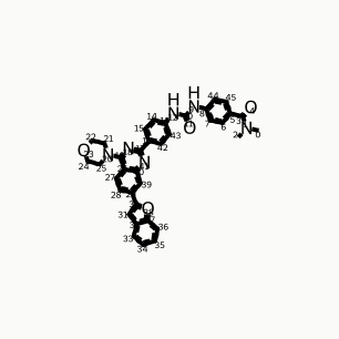 CN(C)C(=O)c1ccc(NC(=O)Nc2ccc(-c3nc(N4CCOCC4)c4ccc(-c5cc6ccccc6o5)cc4n3)cc2)cc1